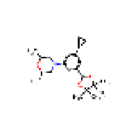 CC1CN(c2cc(B3OC(C)(C)C(C)(C)O3)cc(C3CC3)c2)CC(C)O1